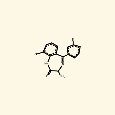 NC1N=C(c2cccc(Cl)c2)c2cccc(Cl)c2NC1=O